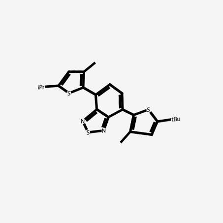 Cc1cc(C(C)C)sc1-c1ccc(-c2sc(C(C)(C)C)cc2C)c2nsnc12